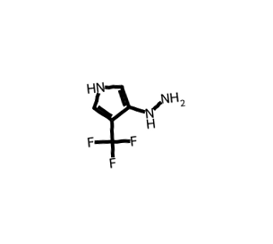 NNc1c[nH]cc1C(F)(F)F